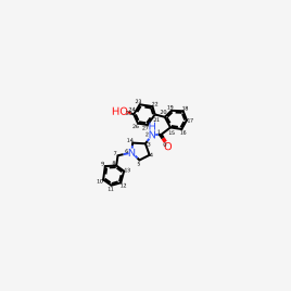 O=C(NC1CCN(Cc2ccccc2)C1)c1ccccc1-c1ccc(O)cc1